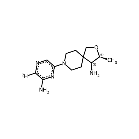 [2H]c1ncc(N2CCC3(CC2)CO[C@@H](C)[C@H]3N)nc1N